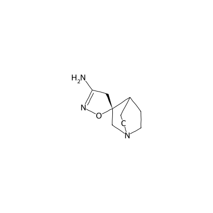 NC1=NO[C@@]2(C1)CN1CCC2CC1